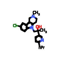 CCCc1ccc(C(C)(O)Cn2c3c(c4cc(Cl)ccc42)CN(C)CC3)cn1